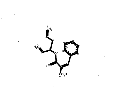 C=CCC(C=C)OC(=O)C(=Cc1ccccc1)C(=O)O